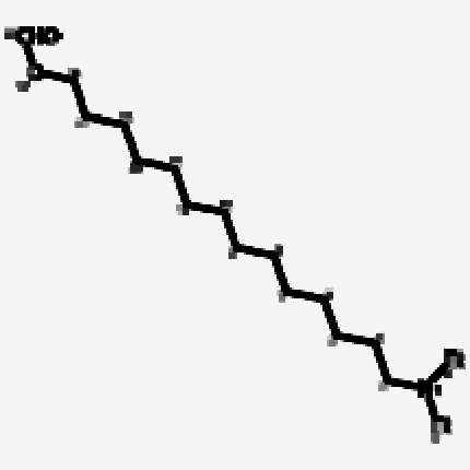 CCN(CC)CCCCCCCCCCCCCCO[C]=O